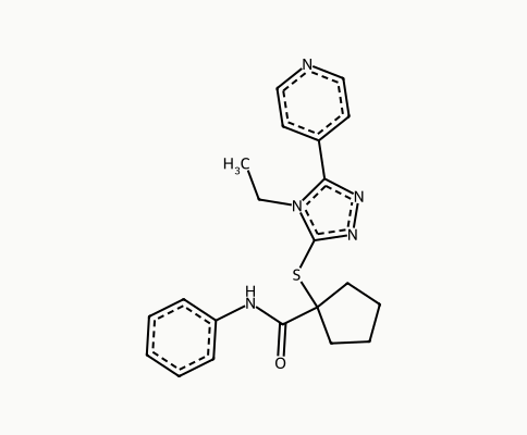 CCn1c(SC2(C(=O)Nc3ccccc3)CCCC2)nnc1-c1ccncc1